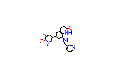 Cc1cc(-c2cc3c(c(NCc4cccnc4)c2)NC(=O)CC3)cn(C)c1=O